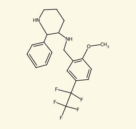 COc1ccc(C(F)(F)C(F)(F)F)cc1CNC1CCCNC1c1ccccc1